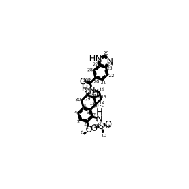 COc1ccc2c(c1NS(C)(=O)=O)[C@]1(C)CCN(C(=O)c3ccc4nc[nH]c4c3)[C@H](C2)[C@H]1C